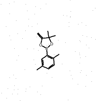 C=C1OB(c2cc(C)ccc2C)OC1(C)C